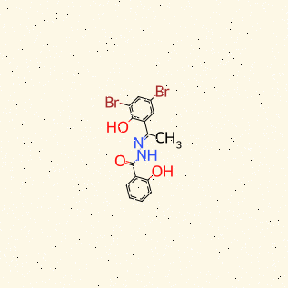 C/C(=N\NC(=O)c1ccccc1O)c1cc(Br)cc(Br)c1O